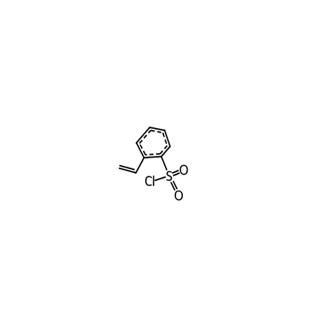 C=Cc1ccccc1S(=O)(=O)Cl